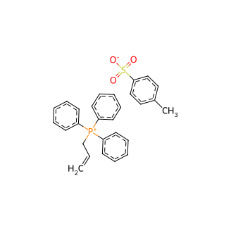 C=CC[P+](c1ccccc1)(c1ccccc1)c1ccccc1.Cc1ccc(S(=O)(=O)[O-])cc1